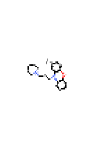 FC(F)(F)c1ccc2c(c1)N(CCCN1CCCCC1)c1ccccc1O2